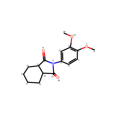 COc1ccc(N2C(=O)C3CCCCC3C2=O)cc1OC